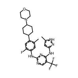 Cc1cc(Nc2nc(Nc3cc(C)c(C4CCC(N5CCOCC5)CC4)cc3F)ncc2C(F)(F)F)n[nH]1